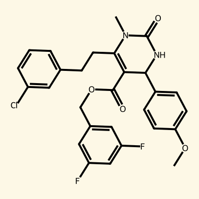 COc1ccc(C2NC(=O)N(C)C(CCc3cccc(Cl)c3)=C2C(=O)OCc2cc(F)cc(F)c2)cc1